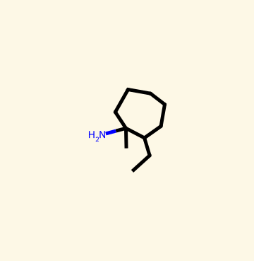 CCC1CCCCCC1(C)N